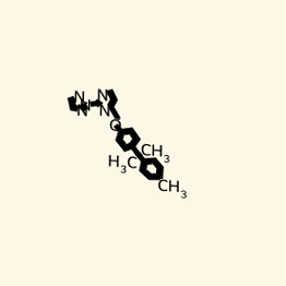 Cc1ccc(C(C)(C)c2ccc(OCc3ccnc(-n4nccn4)n3)cc2)cc1